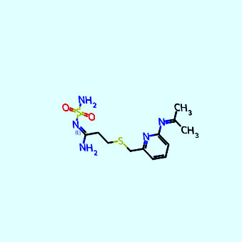 CC(C)=Nc1cccc(CSCC/C(N)=N\S(N)(=O)=O)n1